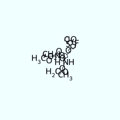 C=C(C)C(=O)OCCNC(=O)CC(COC(=O)NCCOC(=O)C(=C)C)COc1ccc(F)c2c(=O)c3ccccc3sc12